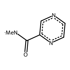 C[N]C(=O)c1cnccn1